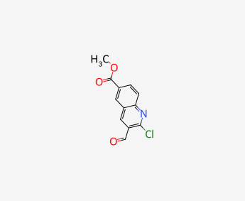 COC(=O)c1ccc2nc(Cl)c(C=O)cc2c1